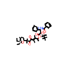 CCC(O[Si](CC)(CC)CC)C(C)(C)C(=O)C(=O)/C(C)=C(\C)C(C)OC(=O)[C@H](O[Si](C)(C)C(C)(C)C)[C@@H](NC(=O)c1ccccc1)c1ccccc1